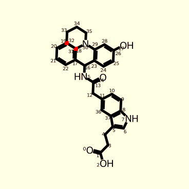 O=C(O)CCc1c[nH]c2ccc(CC(=O)NC(c3ccccc3)c3ccc(O)cc3N3CCCCC3)cc12